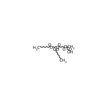 CCCCCCCC(=O)OCC(COC(=O)CCC(=O)O[C@H](C)CC(=O)O)OC(=O)CCCCCCC